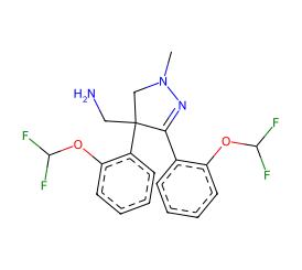 CN1CC(CN)(c2ccccc2OC(F)F)C(c2ccccc2OC(F)F)=N1